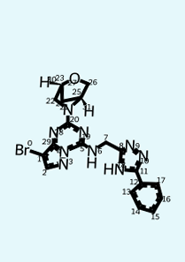 Brc1cnn2c(NCc3nnc(-c4ccccc4)[nH]3)nc(N3C[C@H]4C[C@@H]3CO4)nc12